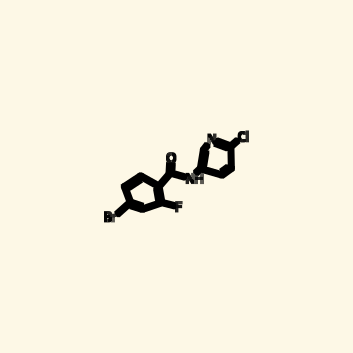 O=C(Nc1ccc(Cl)nc1)c1ccc(Br)cc1F